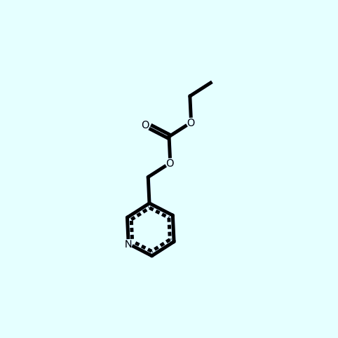 CCOC(=O)OCc1cccnc1